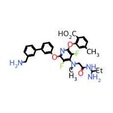 CCC(N)NC(=O)CN(C)c1c(F)c(Oc2cccc(-c3cccc(CN)c3)c2)nc(Oc2cc(C)ccc2C(=O)O)c1F